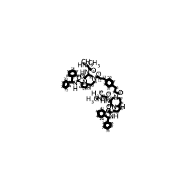 CNC(C)C(=O)N[C@H]1CN(C(=O)CCc2ccc(CCC(=O)N3CC[C@H]4CC[C@@H](C(=O)NC(c5ccccc5)c5ccccc5)N4C(=O)[C@@H](NC(=O)[C@H](C)NC)C3)cc2)CC[C@H]2CC[C@@H](C(=O)NC(c3ccccc3)c3ccccc3)N2C1=O